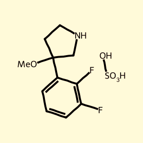 COC1(c2cccc(F)c2F)CCNC1.O=S(=O)(O)O